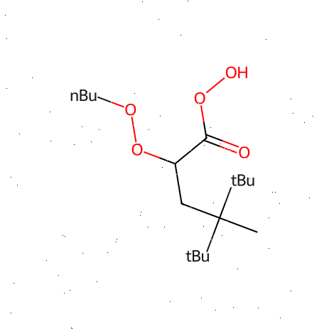 CCCCOOC(CC(C)(C(C)(C)C)C(C)(C)C)C(=O)OO